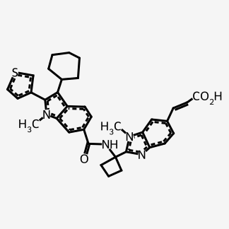 Cn1c(C2(NC(=O)c3ccc4c(C5CCCCC5)c(-c5ccsc5)n(C)c4c3)CCC2)nc2ccc(/C=C/C(=O)O)cc21